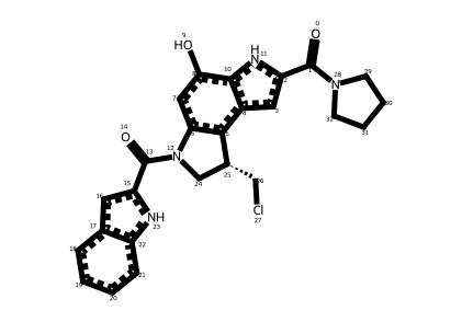 O=C(c1cc2c3c(cc(O)c2[nH]1)N(C(=O)c1cc2ccccc2[nH]1)C[C@H]3CCl)N1CCCC1